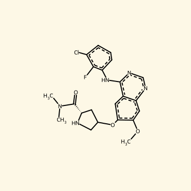 COc1cc2ncnc(Nc3cccc(Cl)c3F)c2cc1OC1CN[C@H](C(=O)N(C)C)C1